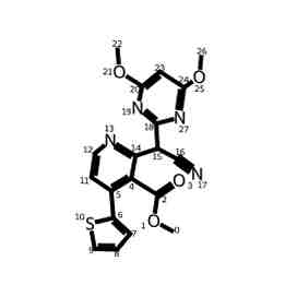 COC(=O)c1c(-c2cccs2)ccnc1C(C#N)c1nc(OC)cc(OC)n1